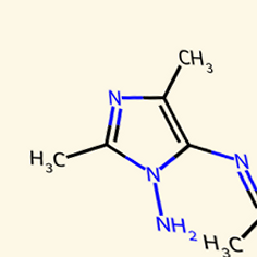 C/C=N\c1c(C)nc(C)n1N